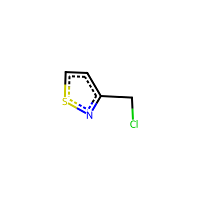 ClCc1ccsn1